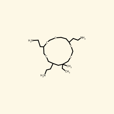 CCC1(C)CCCCC(CCN)CCCCCC(CCN)CCCC(CCN)C1